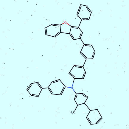 CC1C=C(N(c2ccc(-c3ccccc3)cc2)c2ccc(-c3cccc(-c4cc(-c5ccccc5)c5oc6ccccc6c5c4)c3)cc2)C=CC1C1C=CC=CC1